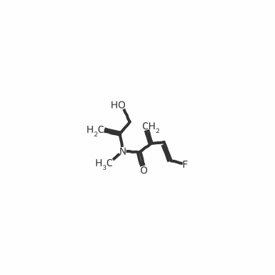 C=C(/C=C/F)C(=O)N(C)C(=C)CO